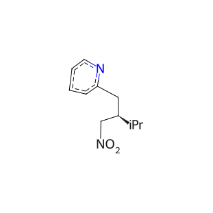 CC(C)[C@H](Cc1ccccn1)C[N+](=O)[O-]